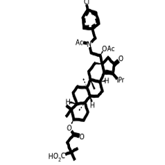 CC(=O)O[C@@H](CN(Cc1ccc(Cl)cc1)C(C)=O)[C@@]12CC[C@]3(C)[C@H](CC[C@@H]4[C@@]5(C)CC[C@H](OC(=O)CC(C)(C)C(=O)O)C(C)(C)[C@@H]5CC[C@]43C)C1=C(C(C)C)C(=O)C2